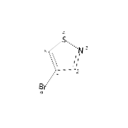 Brc1[c]nsc1